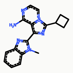 Cn1c(-c2nc(C3CCC3)n3ccnc(N)c23)nc2ccccc21